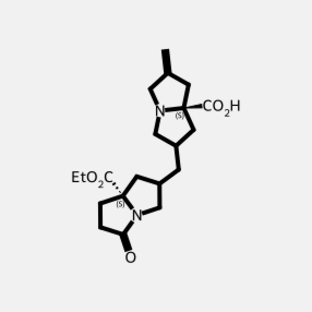 C=C1CN2CC(CC3CN4C(=O)CC[C@@]4(C(=O)OCC)C3)C[C@@]2(C(=O)O)C1